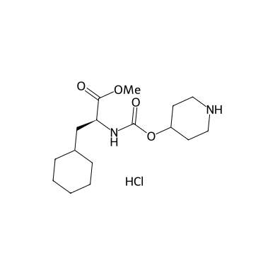 COC(=O)[C@H](CC1CCCCC1)NC(=O)OC1CCNCC1.Cl